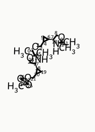 C[C@H](OCC1CC1[C@H]1COC(C)(C)N1)[C@]1(C)N[C@@H](C2CC2COS(C)(=O)=O)CO1